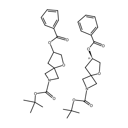 CC(C)(C)OC(=O)N1CC2(CC(OC(=O)c3ccccc3)CO2)C1.CC(C)(C)OC(=O)N1CC2(C[C@@H](OC(=O)c3ccccc3)CO2)C1